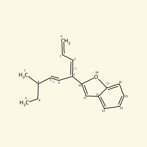 C=C/C=C(\C=C\C(C)CC)c1cc2ccccc2o1